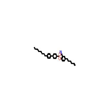 CCCCCCCCc1ccc(C2CCC(C(=O)Oc3ccc(CCCCCC)cc3C#N)CC2)cc1